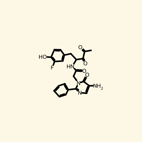 CC(=O)C(=O)C(Cc1ccc(O)c(F)c1)NC(=O)Cn1c(-c2ccccc2)ncc(N)c1=O